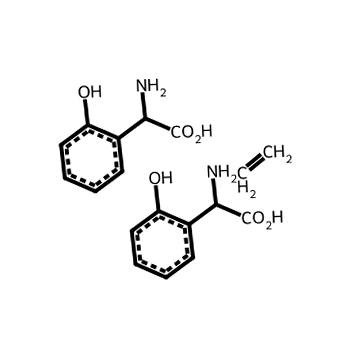 C=C.NC(C(=O)O)c1ccccc1O.NC(C(=O)O)c1ccccc1O